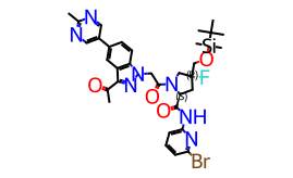 CC(=O)c1nn(CC(=O)N2C[C@@](F)(CO[Si](C)(C)C(C)(C)C)C[C@H]2C(=O)Nc2cccc(Br)n2)c2ccc(-c3cnc(C)nc3)cc12